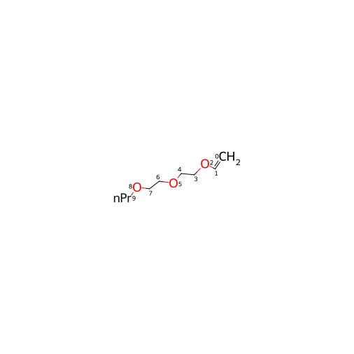 C=COCCOCCOCCC